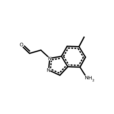 Cc1cc(N)c2cnn(CC=O)c2c1